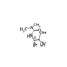 CC(C)[C@H](NC(=O)N(C)C)C(O)O